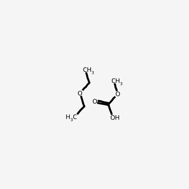 CCOCC.COC(=O)O